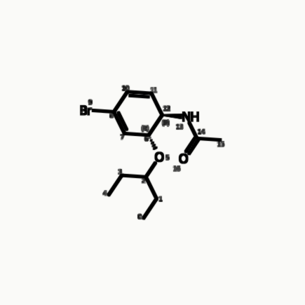 CCC(CC)O[C@@H]1C=C(Br)C=C[C@H]1NC(C)=O